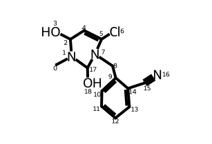 CN1C(O)C=C(Cl)N(Cc2ccccc2C#N)C1O